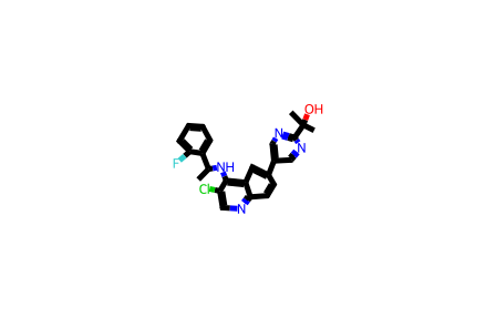 CC(Nc1c(Cl)cnc2ccc(-c3cnc(C(C)(C)O)nc3)cc12)c1ccccc1F